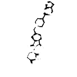 O=C1CCN(N2C(=O)c3ccc(CN4CCC(c5ncc6ccsc6n5)CC4)cc3C2=O)C(=O)N1